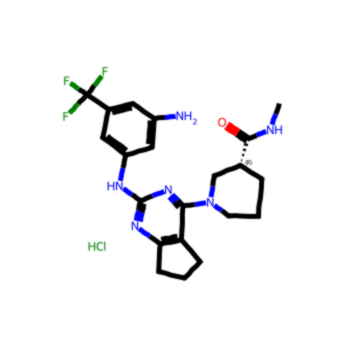 CNC(=O)[C@@H]1CCCN(c2nc(Nc3cc(N)cc(C(F)(F)F)c3)nc3c2CCC3)C1.Cl